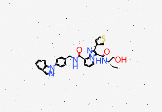 CC[C@@H](CO)NC(=O)c1c(-c2ccsc2)nc2c(C(=O)NCc3ccc(-n4ncc5ccccc54)cc3)cccn12